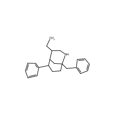 CCC1CNC2(Cc3ccccc3)CCC(c3ccccc3)C1C2